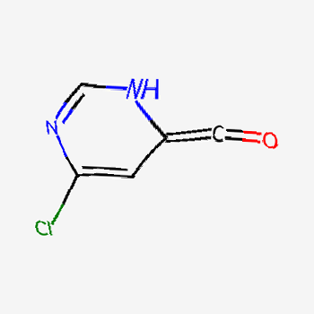 O=C=C1C=C(Cl)N=CN1